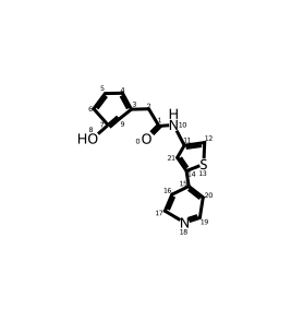 O=C(Cc1cccc(O)c1)Nc1csc(-c2ccncc2)c1